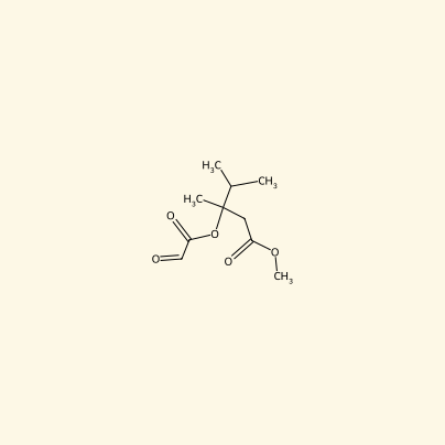 COC(=O)CC(C)(OC(=O)C=O)C(C)C